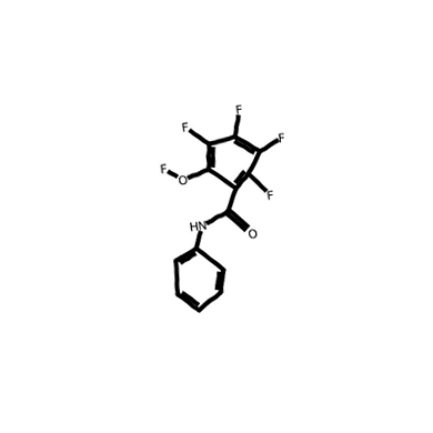 O=C(Nc1ccccc1)c1c(F)c(F)c(F)c(F)c1OF